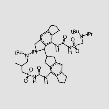 CC(CN(C(C)C)C(C)(C)C)CS(=O)(=O)NC(=O)Nc1c2c(cc3c1CC(C1CCc4cc5c(c(NC(=O)NS(=O)(=O)CN(C(C)C)C(C)(C)C)c41)CCC5)C3)CCC2